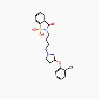 N#Cc1ccccc1OC1CCN(CCCCN2C(=O)c3ccccc3S2(O)O)C1